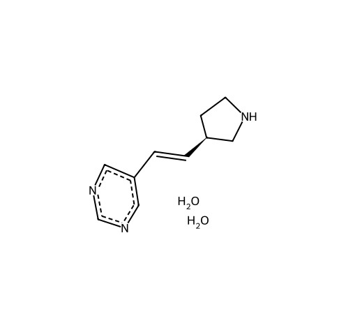 C(=C\[C@H]1CCNC1)/c1cncnc1.O.O